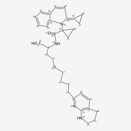 O=C(O)C(CCOCCCCc1ccc2c(n1)NCCC2)NC(=O)C1(N2C(=C3CC3)C=Cc3ccccc32)CC1